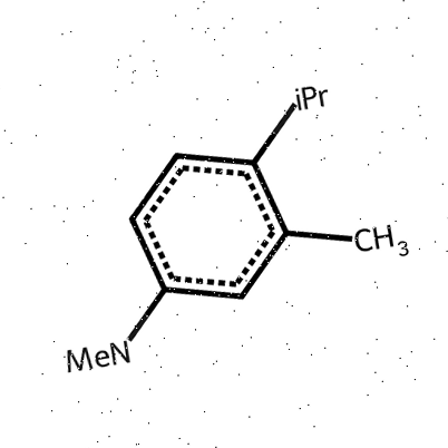 CNc1ccc(C(C)C)c(C)c1